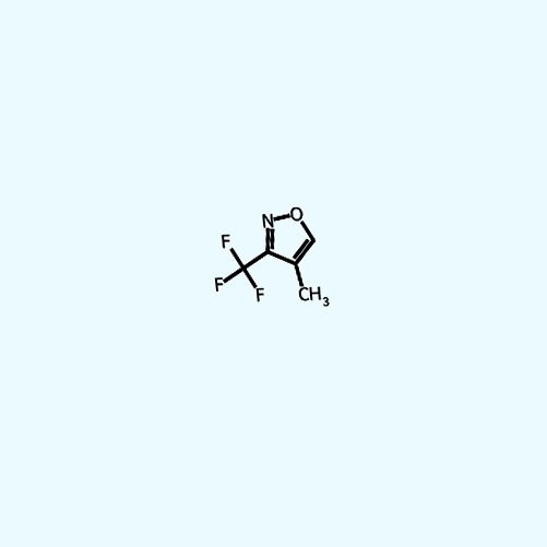 Cc1conc1C(F)(F)F